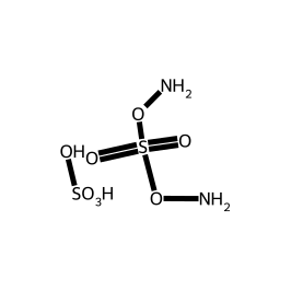 NOS(=O)(=O)ON.O=S(=O)(O)O